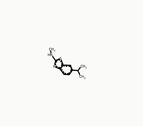 CNc1nc2ccc(C(C)C)cc2s1